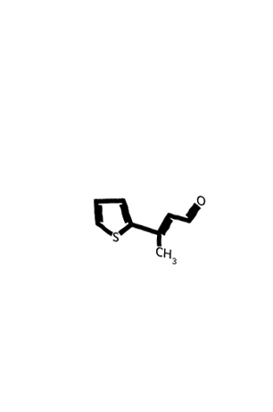 CC(=CC=O)c1cccs1